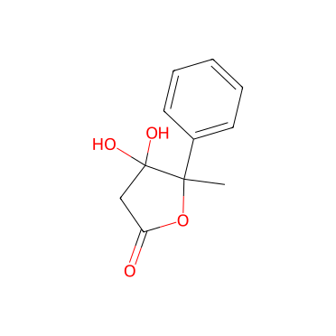 CC1(c2ccccc2)OC(=O)CC1(O)O